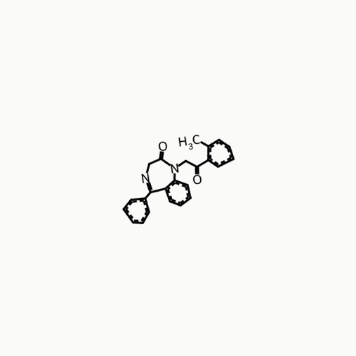 Cc1ccccc1C(=O)CN1C(=O)CN=C(c2ccccc2)c2ccccc21